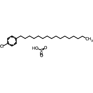 CCCCCCCCCCCCCCCCc1ccc(Cl)cc1.O=[SH](=O)O